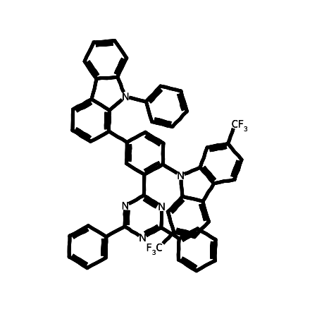 FC(F)(F)c1ccc2c3ccc(C(F)(F)F)cc3n(-c3ccc(-c4cccc5c6ccccc6n(-c6ccccc6)c45)cc3-c3nc(-c4ccccc4)nc(-c4ccccc4)n3)c2c1